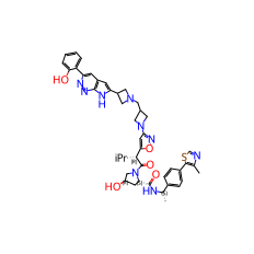 Cc1ncsc1-c1ccc([C@H](C)NC(=O)[C@@H]2C[C@@H](O)CN2C(=O)[C@@H](c2cc(N3CC(CN4CC(c5cc6cc(-c7ccccc7O)nnc6[nH]5)C4)C3)no2)C(C)C)cc1